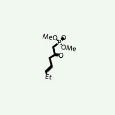 CCC=CCC(=O)CP(=O)(OC)OC